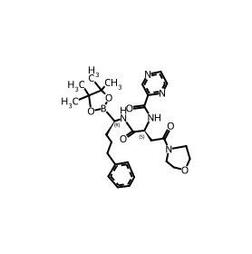 CC1(C)OB([C@H](CCCc2ccccc2)NC(=O)[C@H](CC(=O)N2CCOCC2)NC(=O)c2cnccn2)OC1(C)C